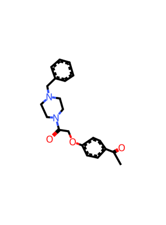 CC(=O)c1ccc(OCC(=O)N2CCN(Cc3ccccc3)CC2)cc1